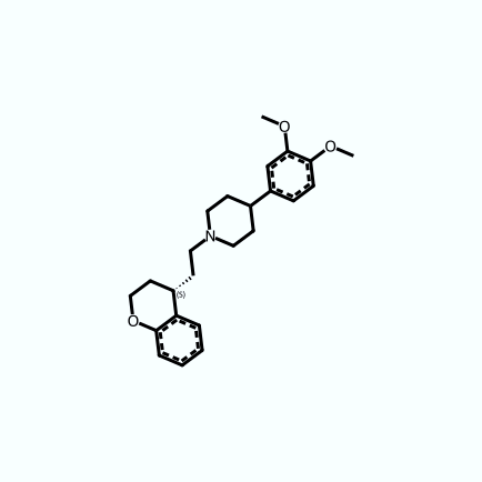 COc1ccc(C2CCN(CC[C@H]3CCOc4ccccc43)CC2)cc1OC